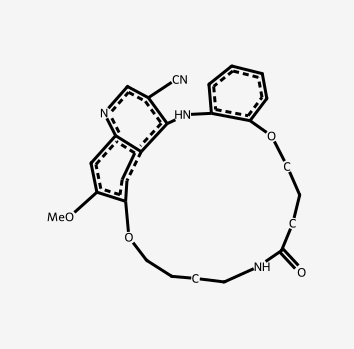 COc1cc2ncc(C#N)c3c2cc1OCCCCNC(=O)CCCOc1ccccc1N3